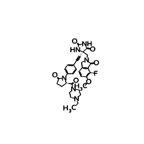 CCN1CCN(C(=O)[C@H]2CCC(=O)N2c2ccc(C#C[C@]3(CN4Cc5ccc(OC)c(F)c5C4=O)NC(=O)NC3=O)cc2)CC1